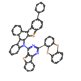 c1ccc(-c2ccc3sc4c(c3c2)c2ccccc2c2c3ccccc3n(-c3nc(-c5cccc6c5Sc5ccccc5S6)nc5c3sc3ccccc35)c42)cc1